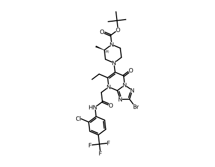 CCc1c(N2CCN(C(=O)OC(C)(C)C)[C@H](C)C2)c(=O)n2nc(Br)nc2n1CC(=O)Nc1ccc(C(F)(F)F)cc1Cl